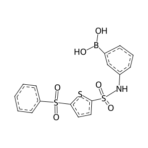 O=S(=O)(Nc1cccc(B(O)O)c1)c1ccc(S(=O)(=O)c2ccccc2)s1